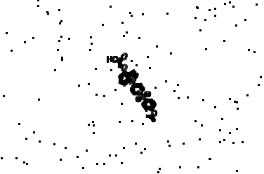 CC(C)Oc1ccc(S(=O)(=O)N2CCC(n3ccc4c(OCC(=O)O)cccc43)CC2)cc1